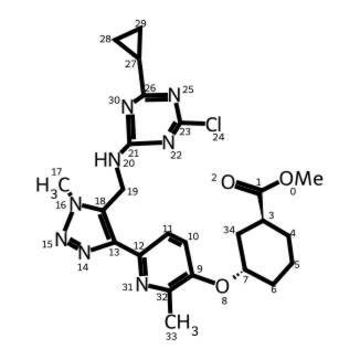 COC(=O)[C@H]1CCC[C@H](Oc2ccc(-c3nnn(C)c3CNc3nc(Cl)nc(C4CC4)n3)nc2C)C1